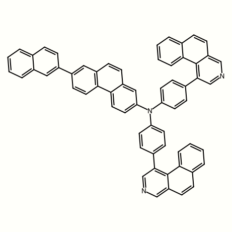 c1ccc2cc(-c3ccc4c(ccc5cc(N(c6ccc(-c7cncc8ccc9ccccc9c78)cc6)c6ccc(-c7cncc8ccc9ccccc9c78)cc6)ccc54)c3)ccc2c1